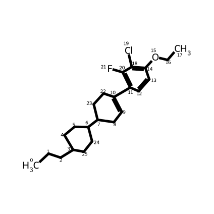 CCCC1CCC(C2CC=C(c3ccc(OCC)c(Cl)c3F)CC2)CC1